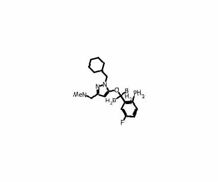 BC(B)(Oc1cc(CNC)nn1CC1CCCCC1)c1cc(F)ccc1P